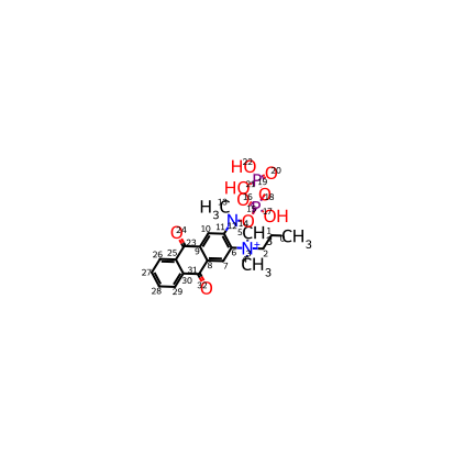 CCC[N+](C)(C)c1cc2c(cc1N(C)OP(=O)(O)OP(=O)(O)O)C(=O)c1ccccc1C2=O